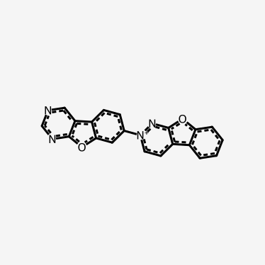 c1ccc2c(c1)oc1n[n+](-c3ccc4c(c3)oc3ncncc34)ccc12